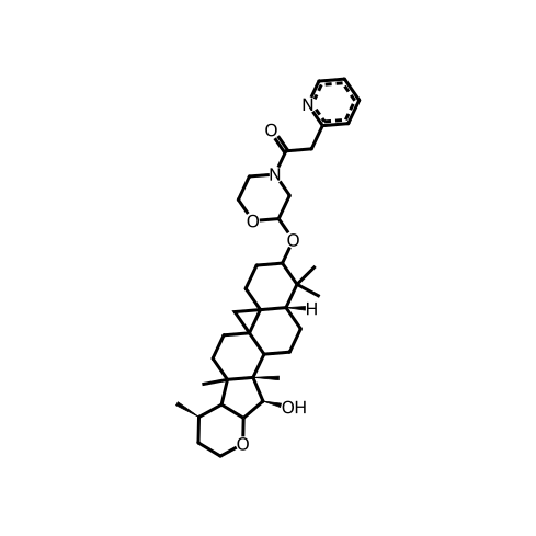 C[C@@H]1CCOC2C1C1(C)CCC34CC35CCC(OC3CN(C(=O)Cc6ccccn6)CCO3)C(C)(C)[C@@H]5CCC4[C@]1(C)[C@H]2O